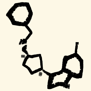 Fc1ccc2[nH]cc([C@@H]3CC[C@H](NCc4ccccc4)C3)c2c1